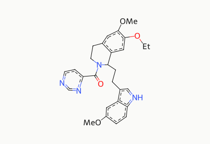 CCOc1cc2c(cc1OC)CCN(C(=O)c1ccncn1)C2CCc1c[nH]c2ccc(OC)cc12